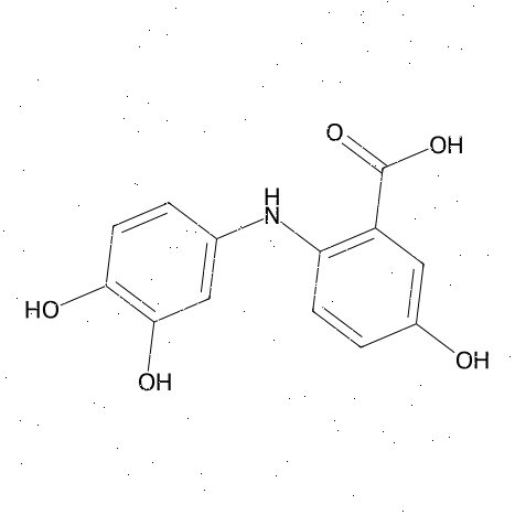 O=C(O)c1cc(O)ccc1Nc1ccc(O)c(O)c1